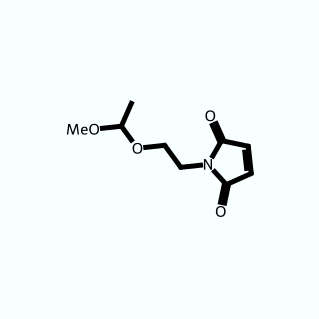 COC(C)OCCN1C(=O)C=CC1=O